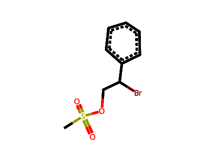 CS(=O)(=O)OCC(Br)c1ccccc1